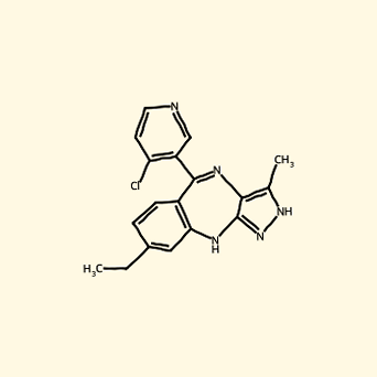 CCc1ccc2c(c1)Nc1n[nH]c(C)c1N=C2c1cnccc1Cl